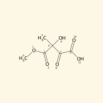 COC(=O)C(C)(O)C(=O)C(=O)O